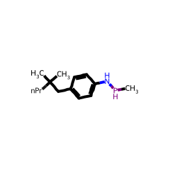 CCCC(C)(C)Cc1ccc(NPC)cc1